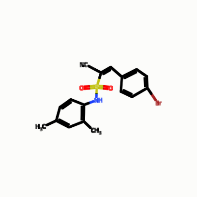 Cc1ccc(NS(=O)(=O)/C(C#N)=C\c2ccc(Br)cc2)c(C)c1